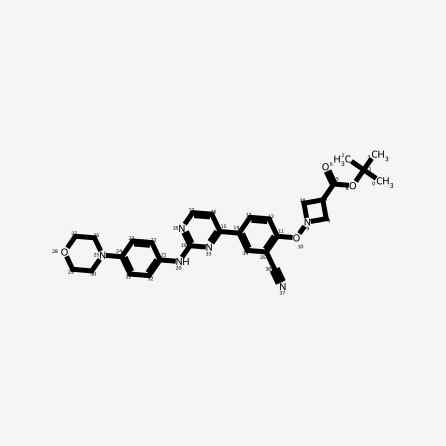 CC(C)(C)OC(=O)C1CN(Oc2ccc(-c3ccnc(Nc4ccc(N5CCOCC5)cc4)n3)cc2C#N)C1